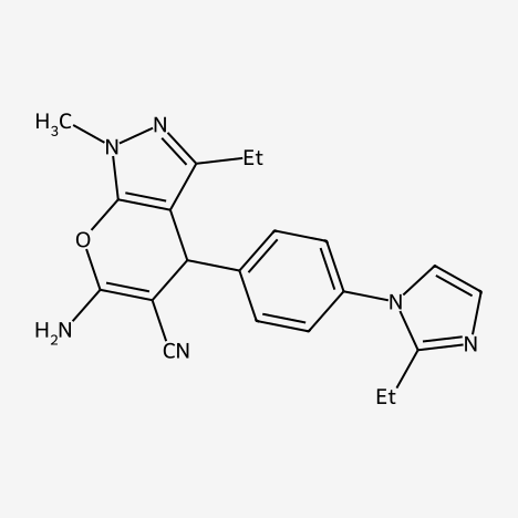 CCc1nn(C)c2c1C(c1ccc(-n3ccnc3CC)cc1)C(C#N)=C(N)O2